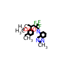 CCc1cccc(C(CC)CC(O)(/C=N/c2cccc3nc(C)ncc23)C(F)(F)F)c1OC